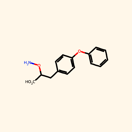 NOC(Cc1ccc(Oc2ccccc2)cc1)C(=O)O